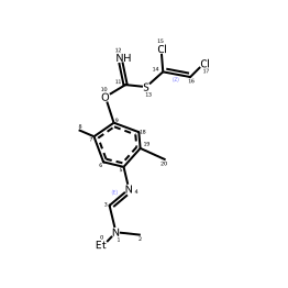 CCN(C)/C=N/c1cc(C)c(OC(=N)S/C(Cl)=C/Cl)cc1C